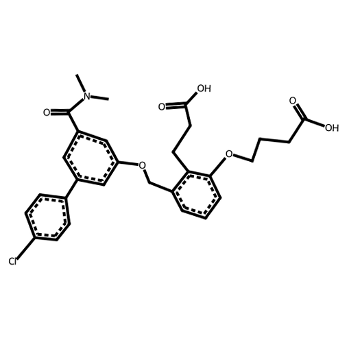 CN(C)C(=O)c1cc(OCc2cccc(OCCCC(=O)O)c2CCC(=O)O)cc(-c2ccc(Cl)cc2)c1